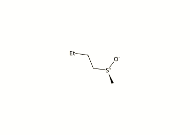 CCCC[S@+](C)[O-]